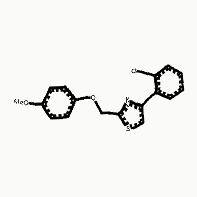 COc1ccc(OCc2nc(-c3ccccc3Cl)cs2)cc1